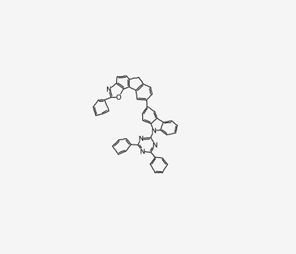 c1ccc(-c2nc(-c3ccccc3)nc(-n3c4ccccc4c4cc(-c5ccc6c(c5)-c5c(ccc7nc(-c8ccccc8)oc57)C6)ccc43)n2)cc1